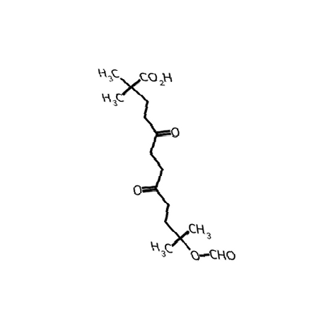 CC(C)(CCC(=O)CCC(=O)CCC(C)(C)C(=O)O)OC=O